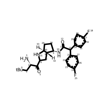 CC(C)(C)C[C@H](N)C(=O)C1C[C@H]2[C@@H](NC(=O)C(c3ccc(F)cc3)c3ccc(F)cc3)CC[C@@H]2N1